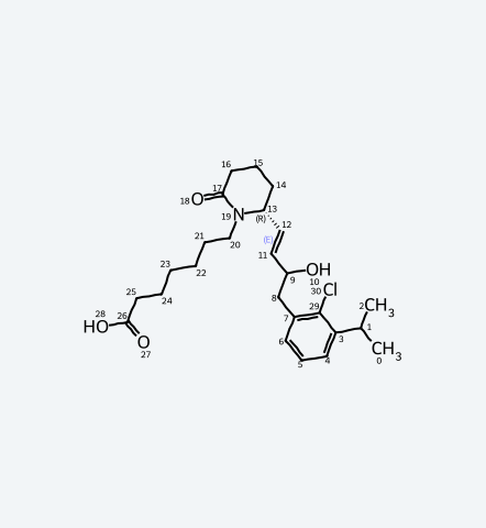 CC(C)c1cccc(CC(O)/C=C/[C@H]2CCCC(=O)N2CCCCCCC(=O)O)c1Cl